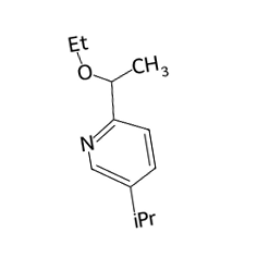 CCOC(C)c1ccc(C(C)C)cn1